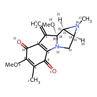 C=C1C2=C(C(=O)C(C)=C(OC)C2=O)N2C[C@H]3[C@H](N3C)[C@]12OC